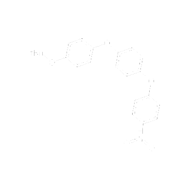 CC(C)(C)Oc1ccc(Oc2ccc(Oc3ccc([SH](=O)=O)cc3)cc2)cc1